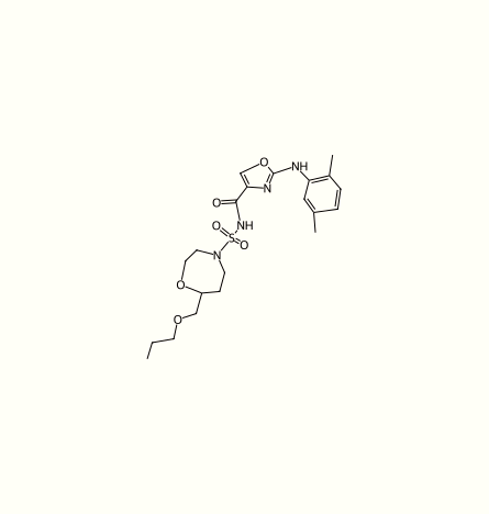 CCCOCC1CCN(S(=O)(=O)NC(=O)c2coc(Nc3cc(C)ccc3C)n2)CCO1